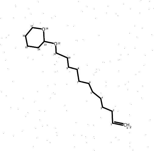 C=CCCCCCCCCCCOC1CCCCO1